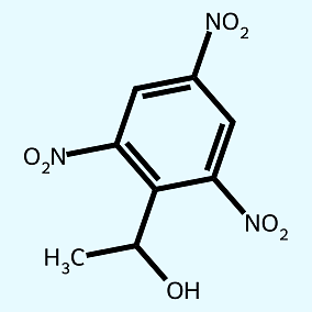 CC(O)c1c([N+](=O)[O-])cc([N+](=O)[O-])cc1[N+](=O)[O-]